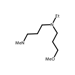 CCN(CCCNC)CCCOC